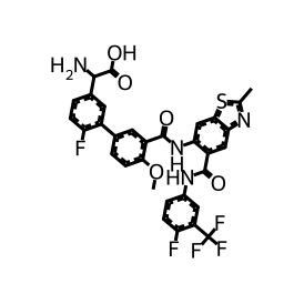 COc1ccc(-c2cc(C(N)C(=O)O)ccc2F)cc1C(=O)Nc1cc2sc(C)nc2cc1C(=O)Nc1ccc(F)c(C(F)(F)F)c1